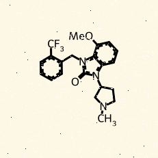 COc1cccc2c1n(Cc1ccccc1C(F)(F)F)c(=O)n2C1CCN(C)C1